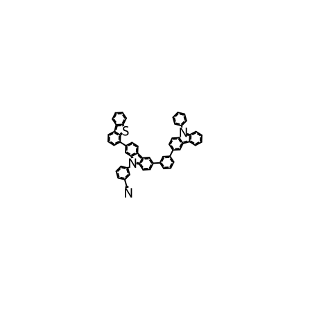 N#Cc1cccc(-n2c3ccc(-c4cccc(-c5ccc6c(c5)c5ccccc5n6-c5ccccc5)c4)cc3c3ccc(-c4cccc5c4sc4ccccc45)cc32)c1